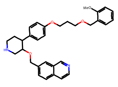 COc1ccccc1COCCCOc1ccc(C2CCNCC2OCc2ccc3ccncc3c2)cc1